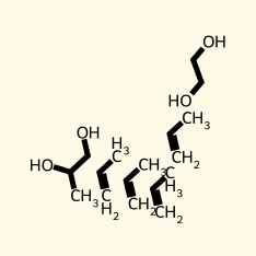 C=CC.C=CC.C=CC.C=CC.CC(O)CO.OCCO